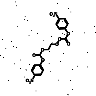 O=C(OCCOOC(=O)Oc1ccc([N+](=O)[O-])cc1)Oc1ccc([N+](=O)[O-])cc1